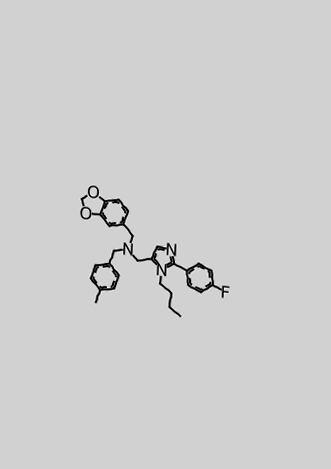 CCCCn1c(CN(Cc2ccc(C)cc2)Cc2ccc3c(c2)OCO3)cnc1-c1ccc(F)cc1